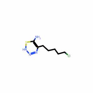 NC1=C(CCCCCCl)N=NNS1